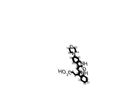 O=C(O)CCc1c(C=C2C(=O)Nc3cc(N4CCOCC4)ccc32)[nH]c2c1CCCC2